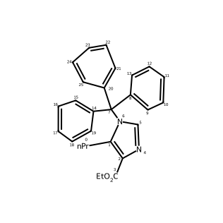 CCCc1c(C(=O)OCC)ncn1C(c1ccccc1)(c1ccccc1)c1ccccc1